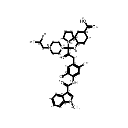 Cn1cc(C(=O)Nc2cc(F)c(CC(=O)C(OC3CCC(C(=O)O)CC3)(N3CCCC3)N3CCN(CC(F)F)CC3)cc2Cl)c2ccccc21